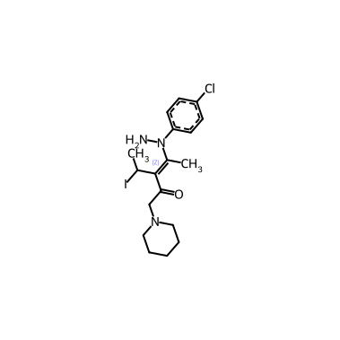 C/C(=C(\C(=O)CN1CCCCC1)C(C)I)N(N)c1ccc(Cl)cc1